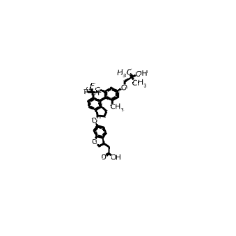 Cc1cc(OCC(C)(C)O)cc(C)c1-c1c(C(F)(F)F)ccc2c1CC[C@H]2Oc1ccc2c(c1)OCC2CC(=O)O